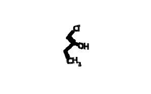 CCC(O)=CCl